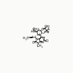 CC#CCn1c(=O)n(C)c2nc(Cl)nc(N3CCCC(NC)C3)c21.O=C(O)C(F)(F)F